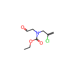 C=C(Cl)CN(CC=O)C(=O)OCC